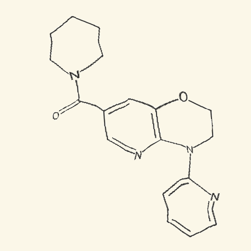 O=C(c1cnc2c(c1)OCCN2c1ccccn1)N1CCCCC1